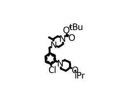 CC(C)OC1CCN(c2cc(CN3CCN(C(=O)OC(C)(C)C)CC3C)ccc2Cl)CC1